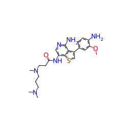 COc1cc(-c2csc3c(NC(=O)CCN(C)CCCN(C)C)cnc(N)c23)ccc1N